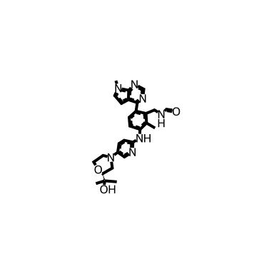 Cc1c(Nc2ccc(N3CCO[C@@H](C(C)(C)O)C3)cn2)ccc(-c2ncnc3c2ccn3C)c1CNC=O